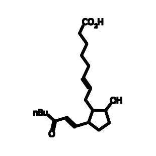 CCCCC(=O)C=CC1CCC(O)C1CC=CCCCCC(=O)O